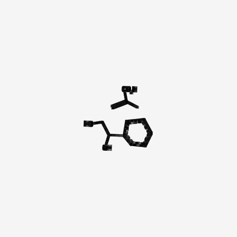 C=C(C)C(=O)O.OCC(O)c1ccccc1